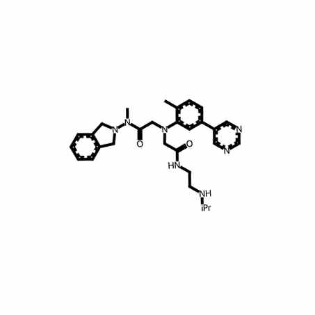 Cc1ccc(-c2cncnc2)cc1N(CC(=O)NCCNC(C)C)CC(=O)N(C)N1Cc2ccccc2C1